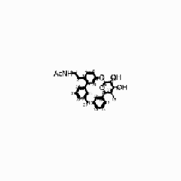 CC(=O)NCCc1ccc(O[C@H]2O[C@H](c3ccccc3)[C@H](C)[C@@H](O)[C@H]2O)cc1-c1cccc(C)c1